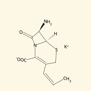 C/C=C\C1=C(C(=O)[O-])N2C(=O)[C@@H](N)[C@H]2SC1.[K+]